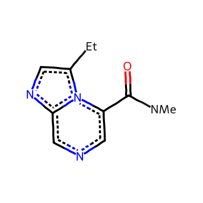 CCc1cnc2cncc(C(=O)NC)n12